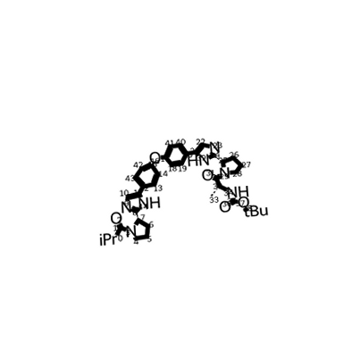 CC(C)C(=O)N1CCC[C@H]1c1ncc(-c2ccc(Oc3ccc(-c4cnc([C@@H]5CCCN5C(=O)[C@@H](C)NC(=O)OC(C)(C)C)[nH]4)cc3)cc2)[nH]1